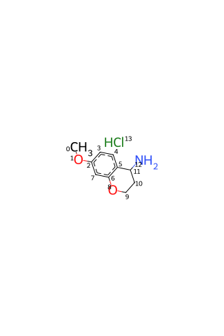 COc1ccc2c(c1)OCCC2N.Cl